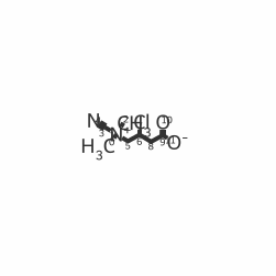 C[N+](C)(C#N)CC(Cl)CC(=O)[O-]